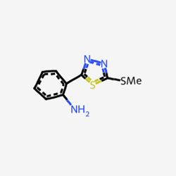 CSc1nnc(-c2ccccc2N)s1